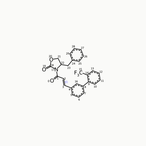 O=C(/C=C/c1cccc(-c2ccccc2C(F)(F)F)c1)N1C(=O)OCC1Cc1ccccc1